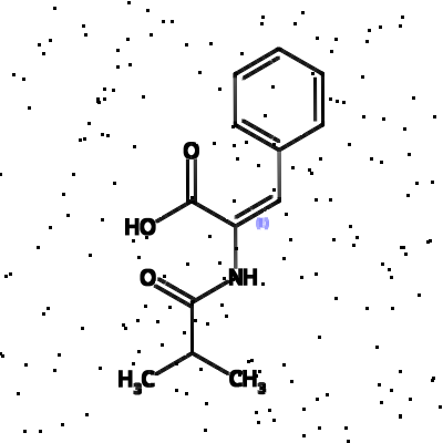 CC(C)C(=O)N/C(=C/c1ccccc1)C(=O)O